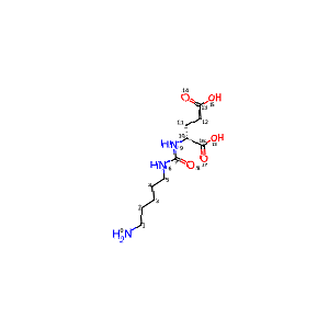 NCCCCCNC(=O)N[C@H](CCC(=O)O)C(=O)O